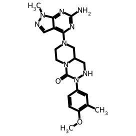 COc1ccc(N2NCC3CN(c4nc(N)nc5c4cnn5C)CCN3C2=O)cc1C